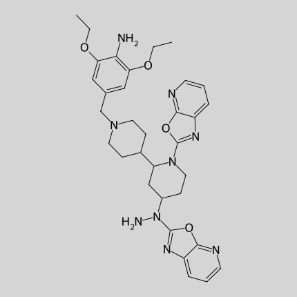 CCOc1cc(CN2CCC(C3CC(N(N)c4nc5cccnc5o4)CCN3c3nc4cccnc4o3)CC2)cc(OCC)c1N